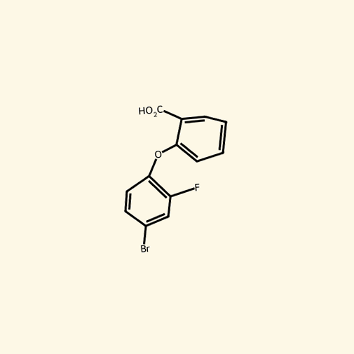 O=C(O)c1ccccc1Oc1ccc(Br)cc1F